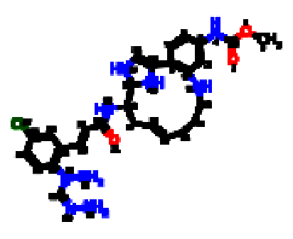 COC(=O)Nc1ccc2c(c1)NCCC/C=C/C[C@H](NC(=O)/C=C/c1cc(Cl)ccc1N(N)/C=N\N)C1NC=C2N1